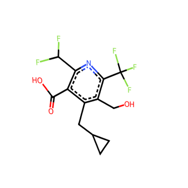 O=C(O)c1c(C(F)F)nc(C(F)(F)F)c(CO)c1CC1CC1